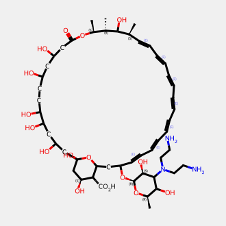 C[C@@H]1OC(=O)CC(O)CC(O)CCC(O)C(O)CC(O)CC2(O)C[C@H](O)C(C(=O)O)C(CC(O[C@@H]3O[C@H](C)C(O)C(N(CCN)CCN)[C@@H]3O)/C=C/C=C/C=C/C=C/C=C/C=C/C=C/[C@H](C)C(O)[C@H]1C)O2